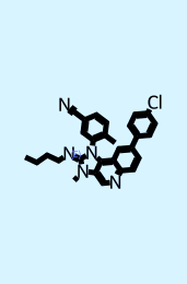 CCCC/N=c1\n(C)c2cnc3ccc(-c4ccc(Cl)cc4)cc3c2n1-c1cc(C#N)ccc1C